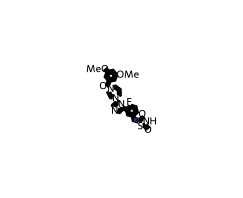 COc1cc(OC)cc(C(=O)N2CCCN(c3cncc(-c4cc(/C=C5/SC(=O)NC5=O)ccc4F)n3)CC2)c1